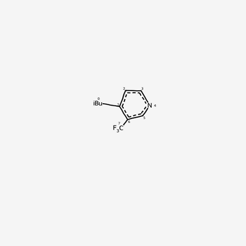 CCC(C)c1ccncc1C(F)(F)F